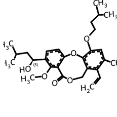 C=Cc1c(C)cc(OCCC(C)C)c2c1COC(=O)c1c(ccc([C@@H](O)CC(C)C)c1OC)O2